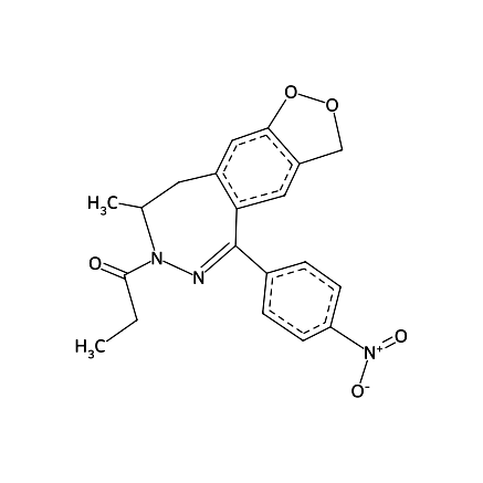 CCC(=O)N1N=C(c2ccc([N+](=O)[O-])cc2)c2cc3c(cc2CC1C)OOC3